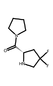 O=C([C@@H]1CC(F)(F)CN1)N1CCCC1